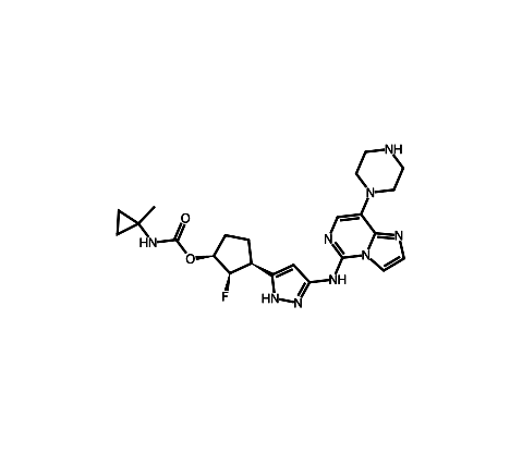 CC1(NC(=O)O[C@H]2CC[C@@H](c3cc(Nc4ncc(N5CCNCC5)c5nccn45)n[nH]3)[C@H]2F)CC1